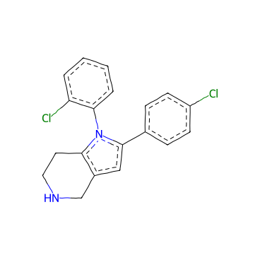 Clc1ccc(-c2cc3c(n2-c2ccccc2Cl)CCNC3)cc1